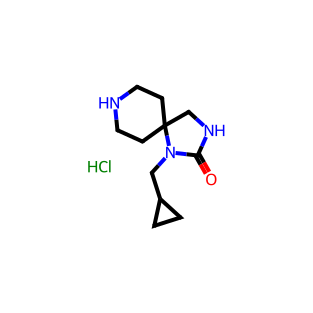 Cl.O=C1NCC2(CCNCC2)N1CC1CC1